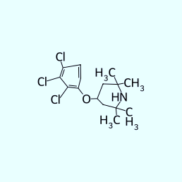 CC1(C)CC(Oc2ccc(Cl)c(Cl)c2Cl)CC(C)(C)N1